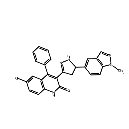 Cn1ncc2cc(C3CC(c4c(-c5ccccc5)c5cc(Cl)ccc5[nH]c4=O)=NN3)ccc21